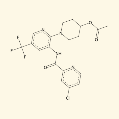 CC(=O)OC1CCN(c2ncc(C(F)(F)F)cc2NC(=O)c2cc(Cl)ccn2)CC1